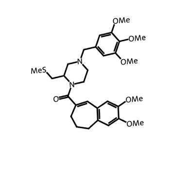 COc1cc2c(cc1OC)CCCC(C(=O)N1CCN(Cc3cc(OC)c(OC)c(OC)c3)CC1CSC)=C2